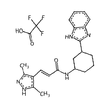 Cc1n[nH]c(C)c1/C=C/C(=O)NC1CCCC(c2nc3ccccc3[nH]2)C1.O=C(O)C(F)(F)F